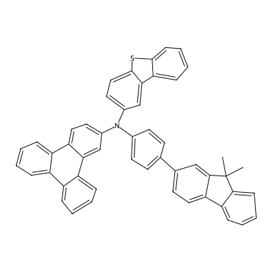 CC1(C)c2ccccc2-c2ccc(-c3ccc(N(c4ccc5sc6ccccc6c5c4)c4ccc5c6ccccc6c6ccccc6c5c4)cc3)cc21